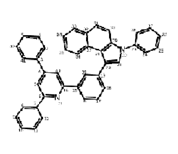 c1ccc(-c2cc(-c3ccccc3)nc(-c3cccc(-c4cn(-c5ccccc5)c5ccc6ccccc6c45)c3)c2)cc1